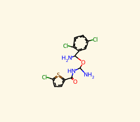 NC(NC(=O)c1ccc(Cl)s1)OC(N)c1cc(Cl)ccc1Cl